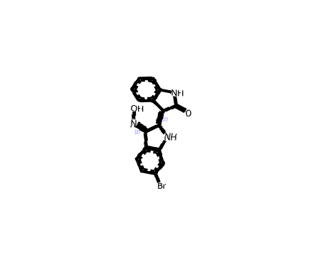 O=C1Nc2ccccc2/C1=C1/Nc2cc(Br)ccc2/C1=N/O